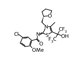 COc1ccc(Cl)cc1C(=O)/N=c1\sc(C(O)(C(F)(F)F)C(F)(F)F)c(C)n1C[C@H]1CCCO1